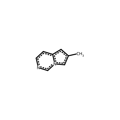 Cc1cc2ccncn2c1